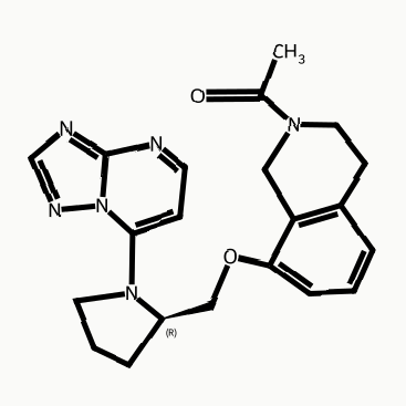 CC(=O)N1CCc2cccc(OC[C@H]3CCCN3c3ccnc4ncnn34)c2C1